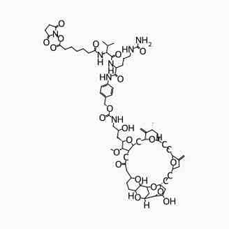 C=C1CC2CC[C@]34C[C@@H](O)C(O3)[C@H]3CC(O4)[C@H]4OC(CC[C@@H]4O3)CC(=O)CC3C(CC4O[C@@H](CCC1O2)C[C@@H](C)C4=C)O[C@H](CC(O)CNC(=O)OCc1ccc(NC(=O)C(CCCNC(N)=O)NC(=O)[C@@H](NC(=O)CCCCCC(=O)ON2C(=O)CCC2=O)C(C)C)cc1)[C@@H]3OC